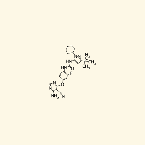 CC(C)(C)c1cc(NC(=O)Nc2ccc(Oc3ncnc(N)c3C#N)cc2F)n(C2CCCCC2)n1